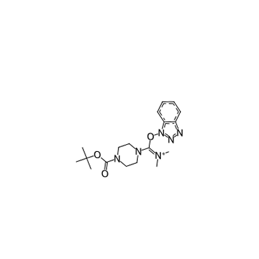 C[N+](C)=C(On1nnc2ccccc21)N1CCN(C(=O)OC(C)(C)C)CC1